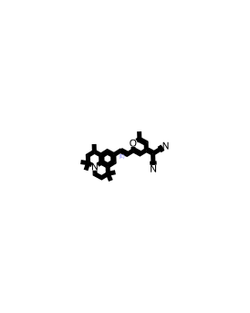 CC1=CC(=C(C#N)C#N)C=C(/C=C/c2cc3c4c(c2)C(C)(C)CCN4C(C)(C)CC3C)O1